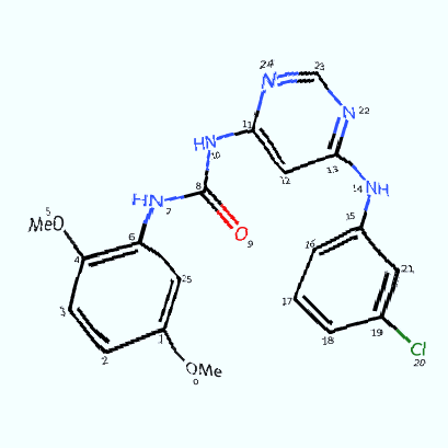 COc1ccc(OC)c(NC(=O)Nc2cc(Nc3cccc(Cl)c3)ncn2)c1